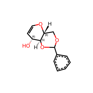 O[C@@H]1C=CO[C@@H]2COC(c3ccccc3)O[C@@H]12